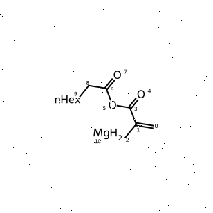 C=C(C)C(=O)OC(=O)CCCCCCC.[MgH2]